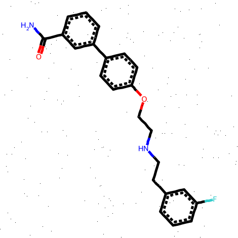 NC(=O)c1cccc(-c2ccc(OCCNCCc3cccc(F)c3)cc2)c1